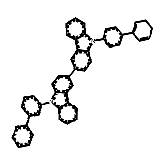 C1=CC(c2ccc(-n3c4ccccc4c4cc(-c5ccc6c(c5)c5ccccc5n6-c5cccc(-c6ccccc6)c5)ccc43)cc2)=CCC1